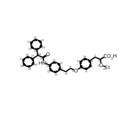 CCOC(Cc1ccc(OCCc2ccc(NC(=O)C(c3ccccc3)c3ccccc3)cc2)cc1)C(=O)O